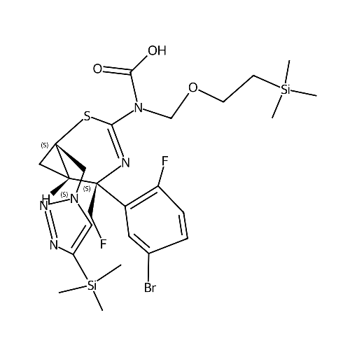 C[Si](C)(C)CCOCN(C(=O)O)C1=N[C@](CF)(c2cc(Br)ccc2F)[C@@H]2C[C@]2(Cn2cc([Si](C)(C)C)nn2)S1